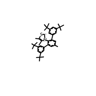 CC1=C(C)N(c2c(-c3cc(C(C)(C)C)cc(C(C)(C)C)c3)cc(C)cc2-c2cc(C(C)(C)C)cc(C(C)(C)C)c2)[C]S1